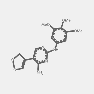 COc1cc(Nc2ncc(C3=COOC3)c(N)n2)cc(OC)c1OC